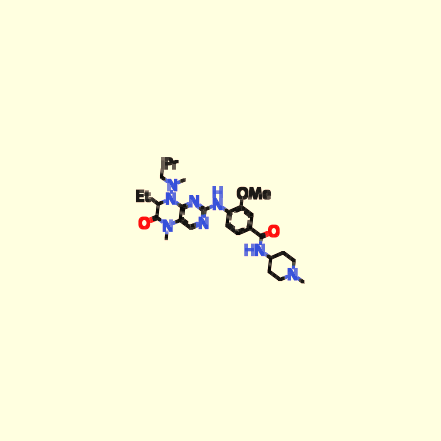 CCC1C(=O)N(C)c2cnc(Nc3ccc(C(=O)NC4CCN(C)CC4)cc3OC)nc2N1N(C)CC(C)C